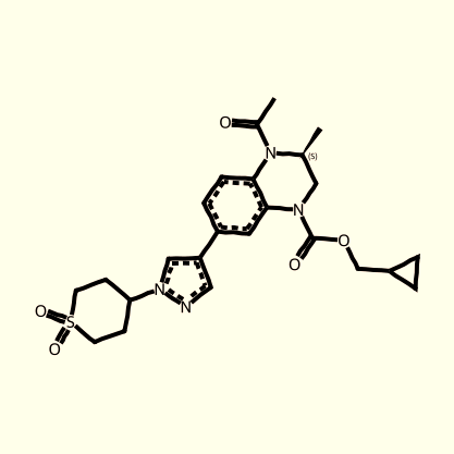 CC(=O)N1c2ccc(-c3cnn(C4CCS(=O)(=O)CC4)c3)cc2N(C(=O)OCC2CC2)C[C@@H]1C